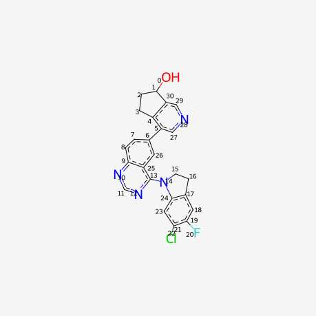 OC1CCc2c(-c3ccc4ncnc(N5CCc6cc(F)c(Cl)cc65)c4c3)cncc21